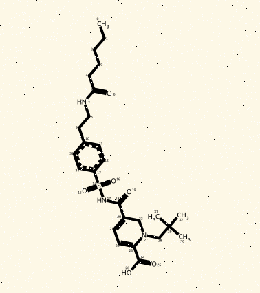 CCCCCC(=O)NCCc1ccc(S(=O)(=O)NC(=O)C2=CC=C(C(=O)O)N(CC(C)(C)C)C2)cc1